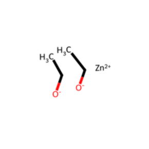 CC[O-].CC[O-].[Zn+2]